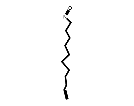 C=CCCCCCCCCCN=O